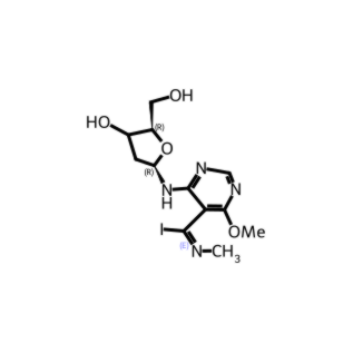 C/N=C(/I)c1c(N[C@H]2CC(O)[C@@H](CO)O2)ncnc1OC